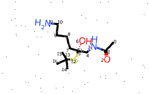 [CH2]C(=O)NC[C@](O)(CCCCN)SC(C)(C)C